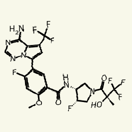 COc1cc(F)c(-c2cc(C(F)(F)F)c3c(N)ncnn23)cc1C(=O)N[C@@H]1CN(C(=O)[C@@](C)(O)C(F)(F)F)C[C@@H]1F